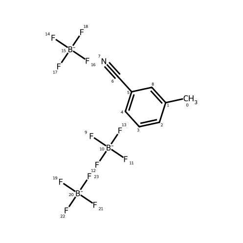 Cc1cccc(C#N)c1.F[B-](F)(F)F.F[B-](F)(F)F.F[B-](F)(F)F